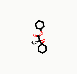 CC1(C(=O)OC2CCCCC2)OC12CCCCC2